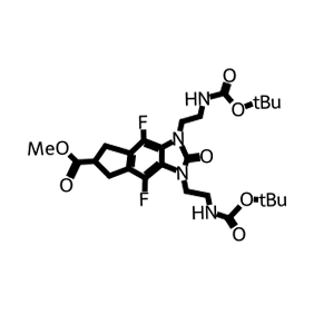 COC(=O)C1Cc2c(c(F)c3c(c2F)n(CCNC(=O)OC(C)(C)C)c(=O)n3CCNC(=O)OC(C)(C)C)C1